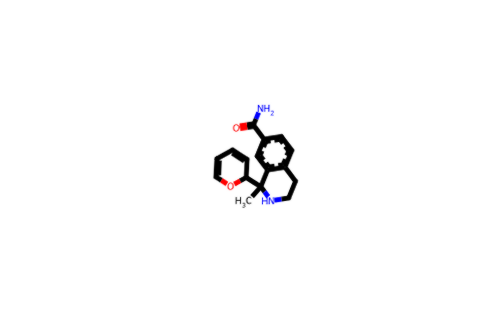 CC1(C2C=CC=CO2)NCCc2ccc(C(N)=O)cc21